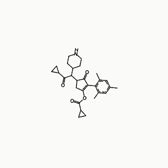 Cc1cc(C)c(C2=C(OC(=O)C3CC3)CC(C(C(=O)C3CC3)C3CCNCC3)C2=O)c(C)c1